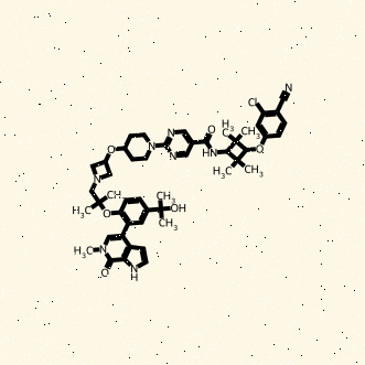 Cn1cc(-c2cc(C(C)(C)O)ccc2OC(C)(C)CN2CC(OC3CCN(c4ncc(C(=O)NC5C(C)(C)C(Oc6ccc(C#N)c(Cl)c6)C5(C)C)cn4)CC3)C2)c2cc[nH]c2c1=O